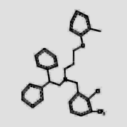 Cc1ccccc1OCCCN(Cc1cccc(C(F)(F)F)c1Cl)CC(c1ccccc1)c1ccccc1